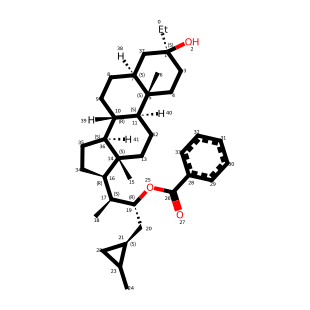 CC[C@]1(O)CC[C@@]2(C)[C@@H](CC[C@@H]3[C@@H]2CC[C@]2(C)[C@@H]([C@H](C)[C@@H](C[C@@H]4CC4C)OC(=O)c4ccccc4)CC[C@@H]32)C1